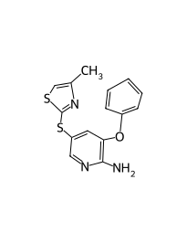 Cc1csc(Sc2cnc(N)c(Oc3ccccc3)c2)n1